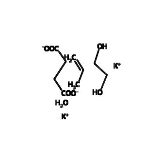 C=CC.O.O=C([O-])CCC(=O)[O-].OCCO.[K+].[K+]